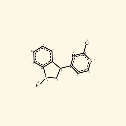 CCN1CC(c2ccnc(Cl)n2)c2ccccc21